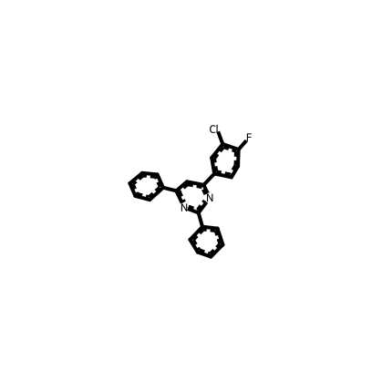 Fc1ccc(-c2cc(-c3ccccc3)nc(-c3ccccc3)n2)cc1Cl